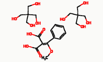 COC(=C(C(=O)O)C(=O)O)c1ccccc1.OCC(CO)(CO)CO.OCC(CO)(CO)CO